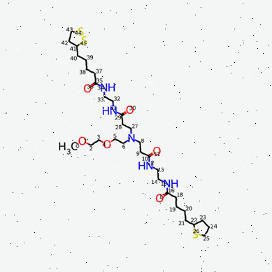 COCCOCCN(CCC(=O)NCCNC(=O)CCCCC1CCCS1)CCC(=O)NCCNC(=O)CCCCC1CCSS1